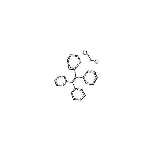 ClCCl.c1ccc(C(=C(c2ccccc2)c2ccccc2)c2ccccc2)cc1